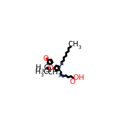 CCCCCCCC/C=C/[C@H]1CCC[C@@H]1C/C=C\CCCC(=O)O.C[Si](C)(C)OC1C=CC(=O)C1